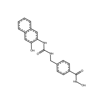 O=C(NCc1ccc(C(=O)NO)cc1)Nc1cc2ccccc2cc1O